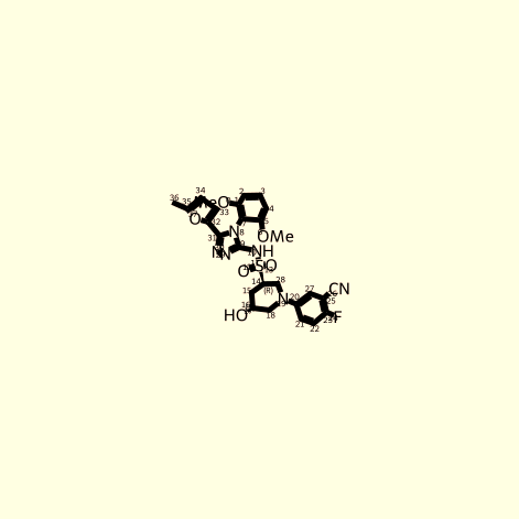 COc1cccc(OC)c1-n1c(NS(=O)(=O)[C@@H]2C[C@H](O)CN(c3ccc(F)c(C#N)c3)C2)nnc1-c1ccc(C)o1